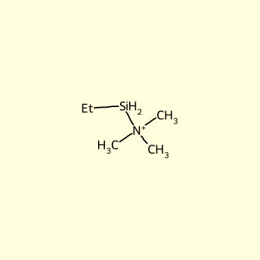 CC[SiH2][N+](C)(C)C